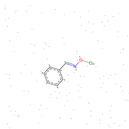 ClON=Cc1ccccc1